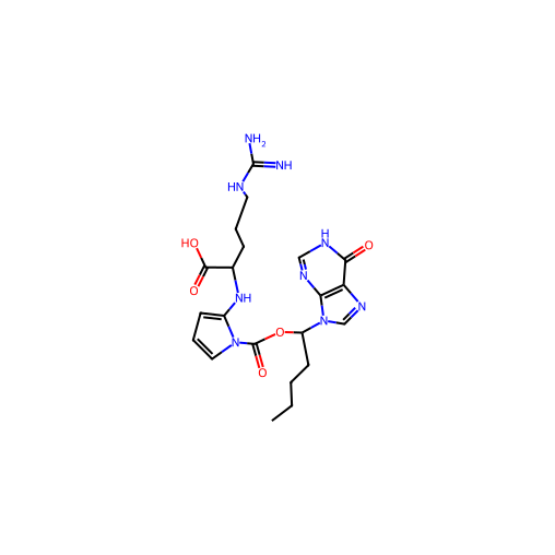 CCCCC(OC(=O)n1cccc1NC(CCCNC(=N)N)C(=O)O)n1cnc2c(=O)[nH]cnc21